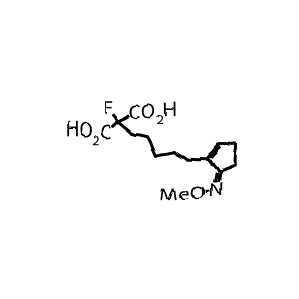 CON=C1CCC=C1CCCCCC(F)(C(=O)O)C(=O)O